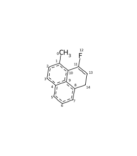 Cc1ccc2cccc3c2c1C(F)=CC3